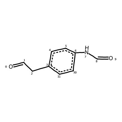 O=CCc1ccc(NC=O)cc1